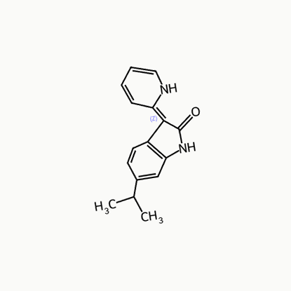 CC(C)c1ccc2c(c1)NC(=O)/C2=C1/C=CC=CN1